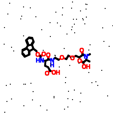 CC(C(=O)O)N(C)C(=O)CCOCCOCCNC(=O)C(CCC(=O)O)NC(=O)OCC1c2ccccc2-c2ccccc21